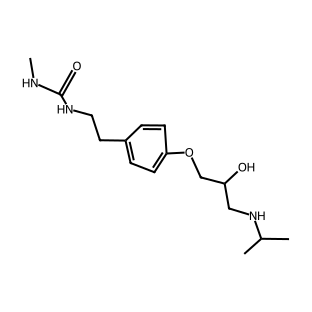 CNC(=O)NCCc1ccc(OCC(O)CNC(C)C)cc1